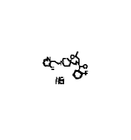 CC1CN(C(=O)c2ccccc2F)CC2(CCN(CCc3ncccc3F)CC2)O1.Cl.Cl